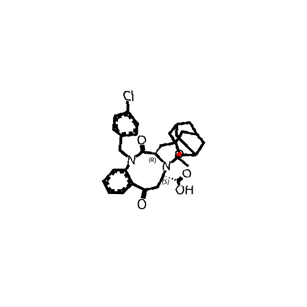 CC(=O)N1[C@H](CC23CC4CC(CC(C4)C2)C3)C(=O)N(Cc2ccc(Cl)cc2)c2ccccc2C(=O)C[C@H]1C(=O)O